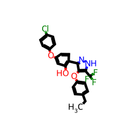 CCc1ccc(Oc2c(-c3ccc(Oc4ccc(Cl)cc4)cc3O)n[nH]c2C(F)(F)F)cc1